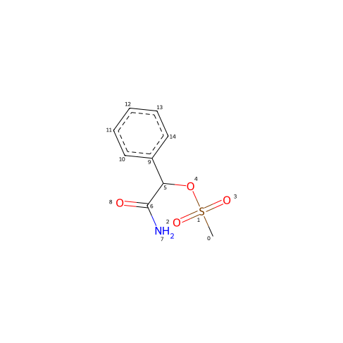 CS(=O)(=O)OC(C(N)=O)c1ccccc1